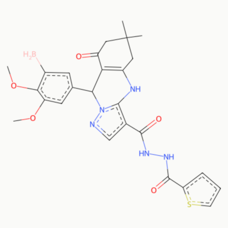 Bc1cc(C2C3=C(CC(C)(C)CC3=O)Nc3c(C(=O)NNC(=O)c4cccs4)cnn32)cc(OC)c1OC